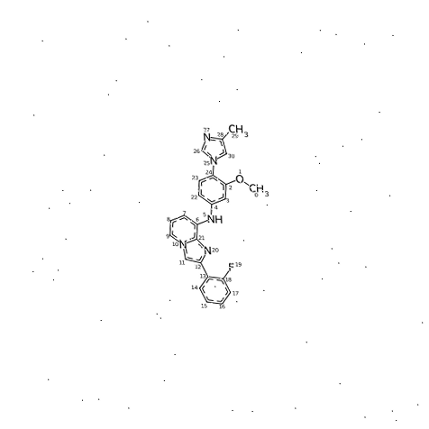 COc1cc(Nc2cccn3cc(-c4ccccc4F)nc23)ccc1-n1cnc(C)c1